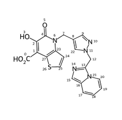 O=C(O)c1c(O)c(=O)n(Cc2cnn(Cc3ncc4ccccn34)c2)c2ccsc12